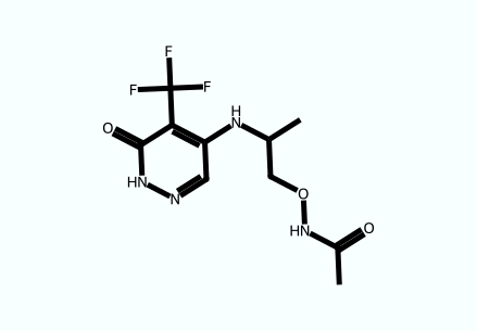 CC(=O)NOCC(C)Nc1cn[nH]c(=O)c1C(F)(F)F